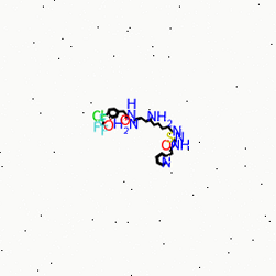 N/C(=C\C=C(/N)NC(=O)Cc1ccc(Cl)c(OC(F)(F)F)c1)CCCCc1nnc(NC(=O)Cc2ccccn2)s1